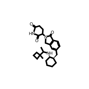 CC(N[C@H]1CCCC[C@@H]1Cc1ccc2c(c1)CN(C1CCC(=O)NC1=O)C2=O)C1(C)CCC1